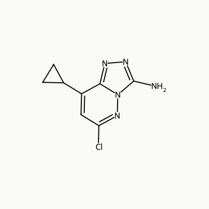 Nc1nnc2c(C3CC3)cc(Cl)nn12